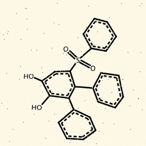 O=S(=O)(c1ccccc1)c1cc(O)c(O)c(-c2ccccc2)c1-c1ccccc1